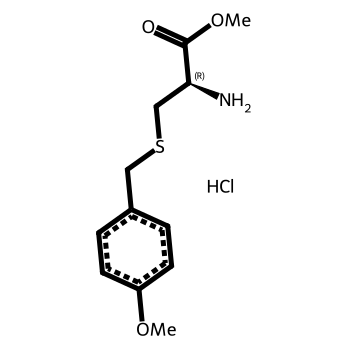 COC(=O)[C@@H](N)CSCc1ccc(OC)cc1.Cl